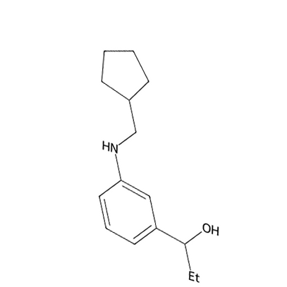 [CH2]CC(O)c1cccc(NCC2CCCC2)c1